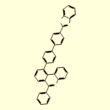 c1ccc(-c2nc3ccccc3c3c(-c4ccc(-c5ccc(-c6nc7ccccc7o6)cc5)cc4)cccc23)cc1